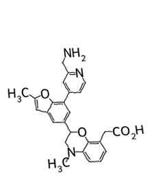 Cc1cc2cc(C3CN(C)c4cccc(CC(=O)O)c4O3)cc(-c3ccnc(CN)c3)c2o1